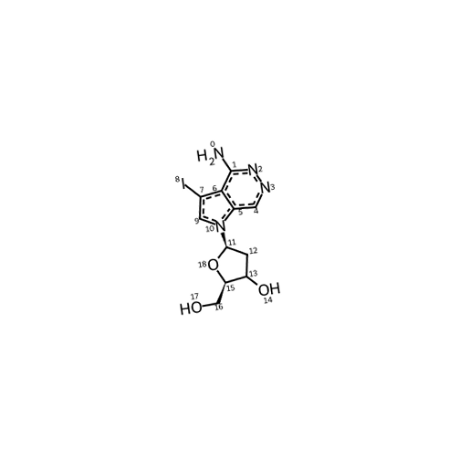 Nc1nncc2c1c(I)cn2[C@H]1CC(O)[C@@H](CO)O1